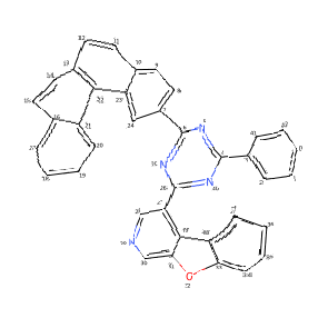 c1ccc(-c2nc(-c3ccc4ccc5ccc6ccccc6c5c4c3)nc(-c3cncc4oc5ccccc5c34)n2)cc1